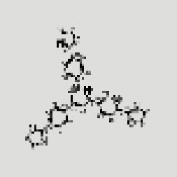 c1cc(C2=NCCO2)ncc1-c1cc(-c2ccc(C3=NCCO3)nc2)nc(-c2ccc(C3=NCCO3)nc2)n1